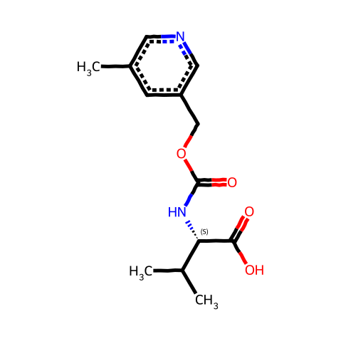 Cc1cncc(COC(=O)N[C@H](C(=O)O)C(C)C)c1